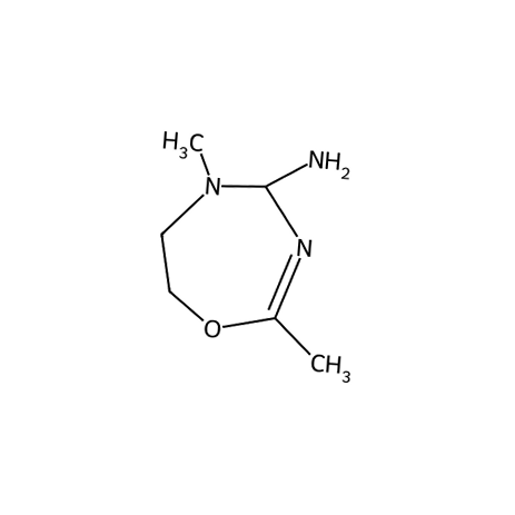 CC1=NC(N)N(C)CCO1